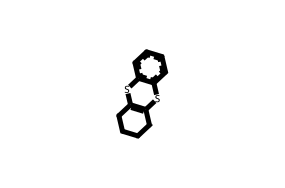 [CH]1CCCC2=C1Sc1ccccc1S2